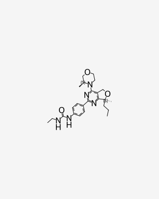 CCC[C@]1(C)OCc2c(N3CCOC[C@@H]3C)nc(-c3ccc(NC(=O)NCC)cc3)nc21